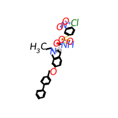 CCCN1Cc2cc(OCc3ccc(-c4ccccc4)cc3)ccc2C[C@H]1C(=O)NS(=O)(=O)c1ccc(Cl)c([N+](=O)[O-])c1